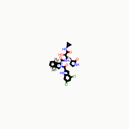 O=C(NC1CC1)C(O)[C@H](C[C@@H]1CCNC1=O)NC(=O)[C@@H]1[C@@H]2[C@H](CN1C(=O)c1cc3c(Cl)cc(Cl)cc3[nH]1)[C@@H]1C=C[C@H]2C1